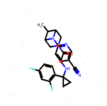 CC1C2CN(C(=O)CNC3(c4ccc(F)cc4F)CC3)CC1N2c1ccc(C#N)cn1